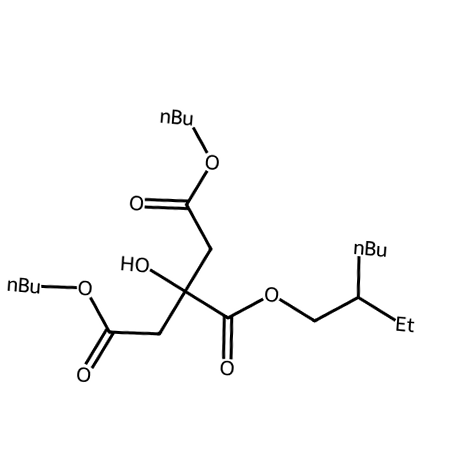 CCCCOC(=O)CC(O)(CC(=O)OCCCC)C(=O)OCC(CC)CCCC